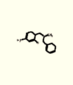 CC1=CCC(CN(C)CC2=CC=CCC2)C(F)=C1